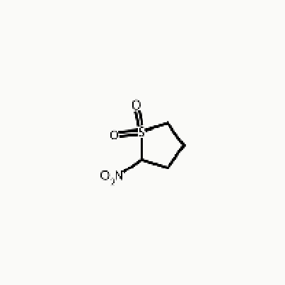 O=[N+]([O-])C1CCCS1(=O)=O